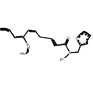 C=C/C=C(\C=C/C/C=C/C(=O)N(CC)Cc1cccs1)OCCC